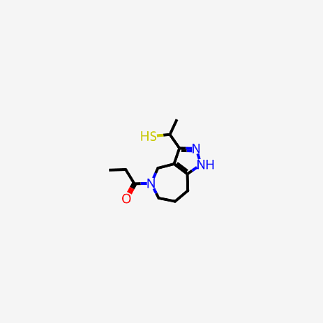 CCC(=O)N1CCCc2[nH]nc(C(C)S)c2C1